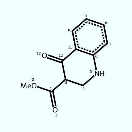 COC(=O)C1CNc2ccccc2C1=O